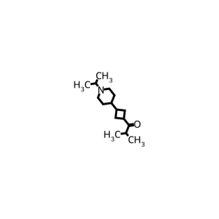 CC(C)C(=O)C1CC(C2CCN(C(C)C)CC2)C1